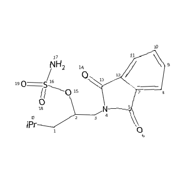 CC(C)CC(CN1C(=O)c2ccccc2C1=O)OS(N)(=O)=O